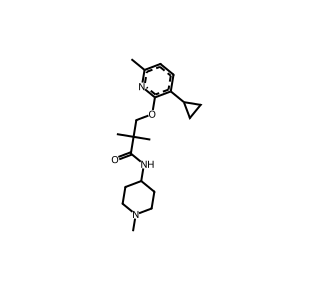 Cc1ccc(C2CC2)c(OCC(C)(C)C(=O)NC2CCN(C)CC2)n1